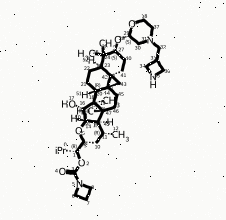 CC(C)[C@@H](OC(=O)N1CCC1)[C@H]1C[C@@H](C)[C@H]2[C@H](O1)[C@H](O)[C@@]1(C)[C@@H]3CC[C@H]4C(C)(C)[C@@H](O[C@H]5CN(CC6CNC6)CCO5)CC[C@@]45C[C@@]35CC[C@]21C